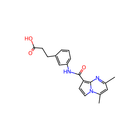 Cc1cc(C)n2ccc(C(=O)Nc3cccc(CCC(=O)O)c3)c2n1